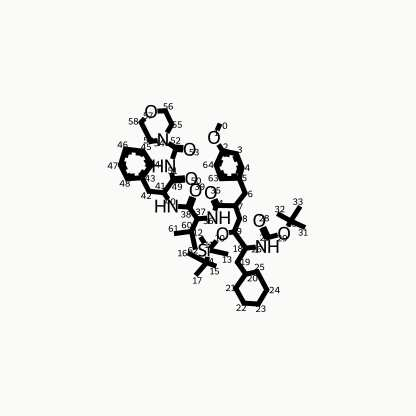 COc1ccc(CC(CC(O[Si](C)(C)C(C)(C)C)C(CC2CCCCC2)NC(=O)OC(C)(C)C)C(=O)NC(C(=O)NC(Cc2ccccc2)C(=O)NC(=O)N2CCOCC2)C(C)C)cc1